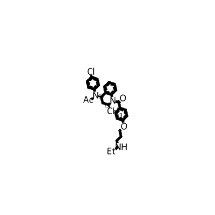 CCNCCCOc1ccc(C(=O)N2c3ccccc3[C@H](N(C(C)=O)c3ccc(Cl)cc3)C[C@@H]2C)cc1